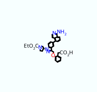 CCOC(=O)N1CC[C@@H](n2nc(COc3ccccc3CC(=O)O)c3cc(-c4cccc5c(N)nccc45)ccc32)C1